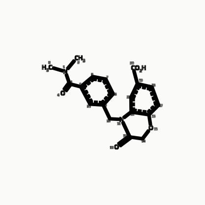 CN(C)C(=O)c1cccc(CN2C(=O)COc3ccc(C(=O)O)cc32)c1